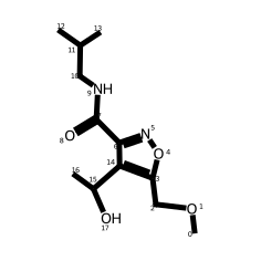 COCc1onc(C(=O)NCC(C)C)c1C(C)O